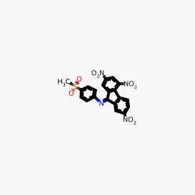 CS(=O)(=O)c1ccc(N=C2c3cc([N+](=O)[O-])ccc3-c3c2cc([N+](=O)[O-])cc3[N+](=O)[O-])cc1